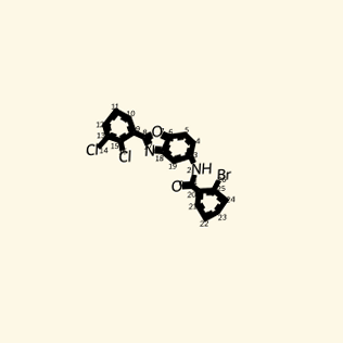 O=C(Nc1ccc2oc(-c3cccc(Cl)c3Cl)nc2c1)c1ccccc1Br